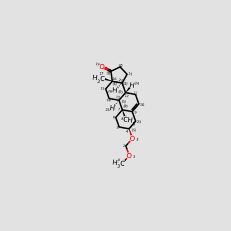 COCO[C@H]1CC[C@@]2(C)C(=CC[C@@H]3[C@@H]2CC[C@]2(C)C(=O)CC[C@@H]32)C1